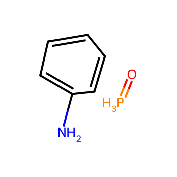 Nc1ccccc1.O=[PH3]